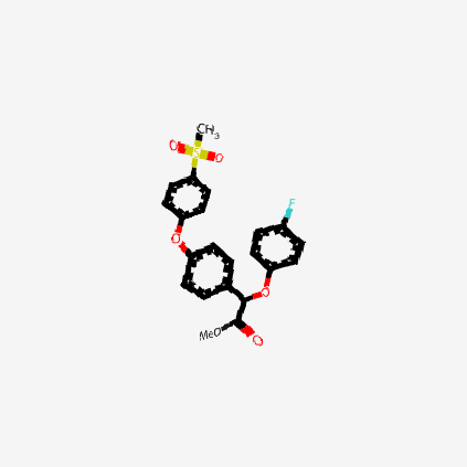 COC(=O)C(Oc1ccc(F)cc1)c1ccc(Oc2ccc(S(C)(=O)=O)cc2)cc1